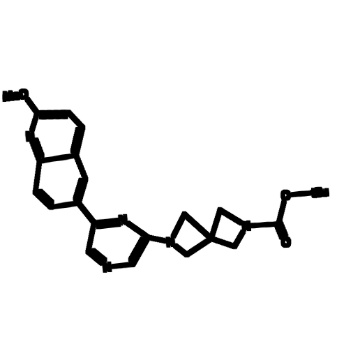 COc1ccc2cc(-c3cncc(N4CC5(CN(C(=O)OC(C)(C)C)C5)C4)n3)ccc2n1